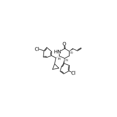 C=CC[C@H]1C[C@@H](c2cccc(Cl)c2)[C@H](C(c2ccc(Cl)cc2)C2CC2)NC1=O